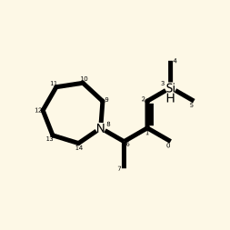 CC(=C[SiH](C)C)C(C)N1CCCCCC1